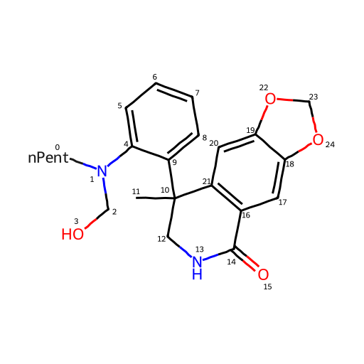 CCCCCN(CO)c1ccccc1C1(C)CNC(=O)c2cc3c(cc21)OCO3